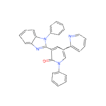 O=c1c(-c2nc3ccccc3n2-c2ccccc2)cc(-c2ccccn2)cn1-c1ccccc1